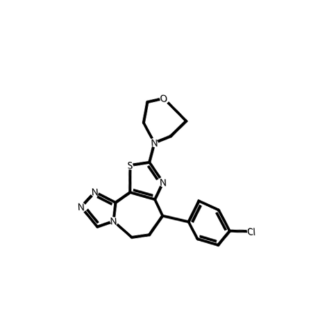 Clc1ccc(C2CCn3cnnc3-c3sc(N4CCOCC4)nc32)cc1